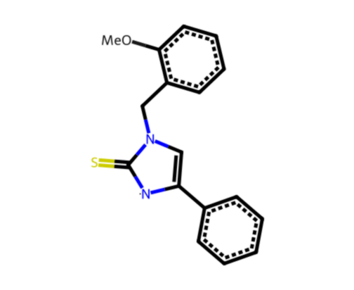 COc1ccccc1CN1C=C(c2ccccc2)[N]C1=S